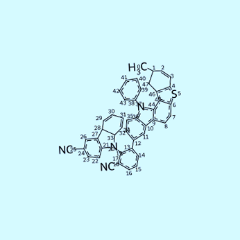 CC1C=Cc2sc3ccc4c5cc(-c6cccc(C#N)c6N6c7ccc(C#N)cc7C7C=CC=CC76)ccc5n(-c5ccccc5)c4c3c2C1